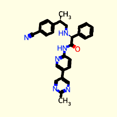 Cc1ncc(-c2ccc(NC(=O)[C@H](NC[C@@H](C)c3ccc(C#N)cc3)c3ccccc3)nc2)cn1